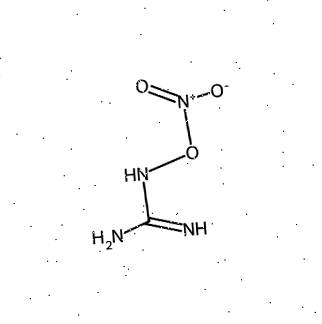 N=C(N)NO[N+](=O)[O-]